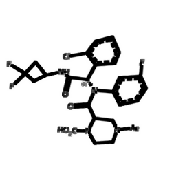 CC(=O)N1CCN(C(=O)O)C(C(=O)N(c2cccc(F)c2)[C@H](C(=O)NC2CC(F)(F)C2)c2ccccc2Cl)C1